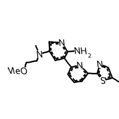 COCCN(C)c1cnc(N)c(-c2cccc(-c3ncc(C(C)C)s3)n2)c1